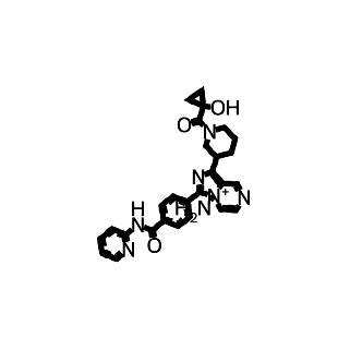 N[N+]12C=CN=CC1=C(C1CCCN(C(=O)C3(O)CC3)C1)N=C2c1ccc(C(=O)Nc2ccccn2)cc1